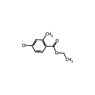 CCOC(=O)c1ccc(Cl)cc1C